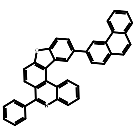 c1ccc(-c2nc3ccccc3c3c2ccc2oc4ccc(-c5ccc6ccc7ccccc7c6c5)cc4c23)cc1